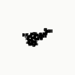 CCN(CC1CCN(S(=O)(=O)NCCC(=O)O)CC1)[C@@H](C)Cc1ccc2c(c1)CCO2